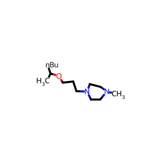 CCCCC(C)OCCCN1CCN(C)CC1